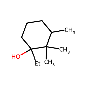 CCC1(O)CCCC(C)C1(C)C